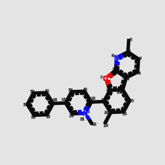 Cc1ccc2c(n1)oc1c(-c3ccc(-c4ccccc4)c[n+]3C)c(C)ccc12